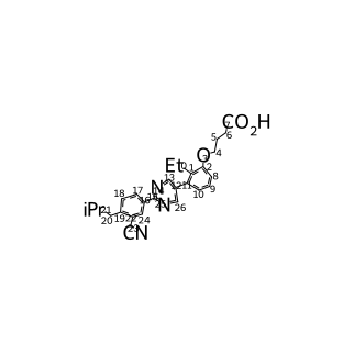 CCc1c(OCCCC(=O)O)cccc1-c1cnc(-c2ccc(CC(C)C)c(C#N)c2)nc1